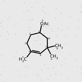 CC(=O)OC1CCC(C)=CC(C)(C)C1